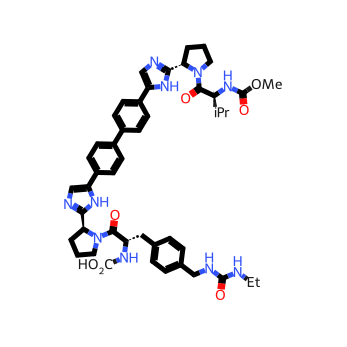 CCNC(=O)NCc1ccc(C[C@H](NC(=O)O)C(=O)N2CCC[C@H]2c2ncc(-c3ccc(-c4ccc(-c5cnc([C@@H]6CCCN6C(=O)[C@@H](NC(=O)OC)C(C)C)[nH]5)cc4)cc3)[nH]2)cc1